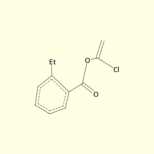 C=C(Cl)OC(=O)c1ccccc1CC